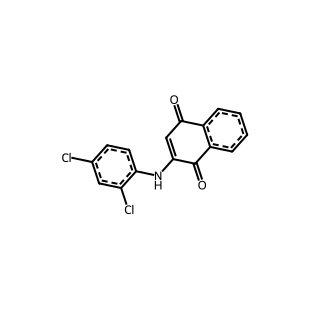 O=C1C=C(Nc2ccc(Cl)cc2Cl)C(=O)c2ccccc21